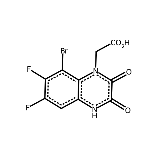 O=C(O)Cn1c(=O)c(=O)[nH]c2cc(F)c(F)c(Br)c21